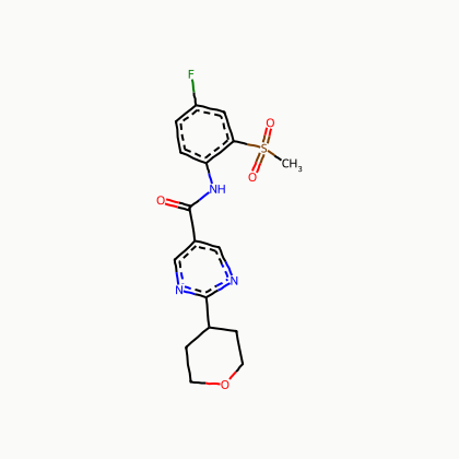 CS(=O)(=O)c1cc(F)ccc1NC(=O)c1cnc(C2CCOCC2)nc1